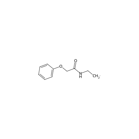 [CH2]CNC(=O)COc1ccccc1